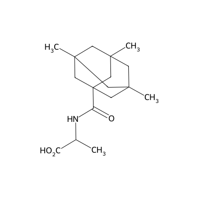 CC(NC(=O)C12CC3(C)CC(C)(CC(C)(C3)C1)C2)C(=O)O